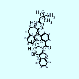 CCN(C(=O)c1cccc(N2C(=O)C(NC(=O)CC(C)(C)N)CCc3ccccc32)c1C)c1sc2ccccc2c1Br